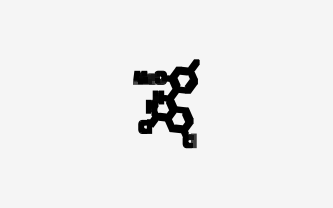 COc1cc(C)ccc1-c1nnc(Cl)c2cc(Cl)ccc12